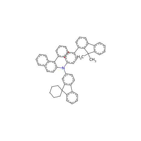 CC1(C)c2ccccc2-c2cccc(-c3ccc(N(c4ccc5c(c4)C4(CCCCC4)c4ccccc4-5)c4ccc5ccccc5c4-c4ccccc4)cc3)c21